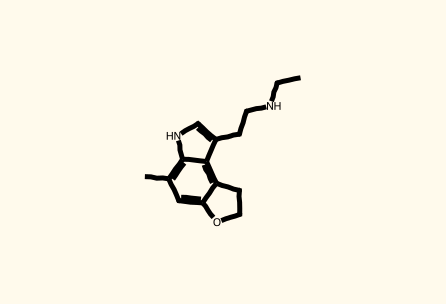 CCNCCc1c[nH]c2c(C)cc3c(c12)CCO3